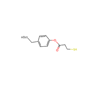 CCCCCCCCCc1ccc(OC(=O)CCS)cc1